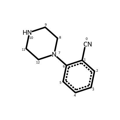 N#Cc1c[c]ccc1N1CCNCC1